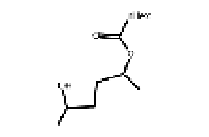 CCCCCCC(=O)OC(C)CCC(C)O